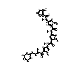 Cn1cc(NC(=O)c2cc(NC(=O)c3cc(NC(=O)c4sccc4Cl)cn3C)cn2C)cc1C(=O)NCCN1CCOCC1